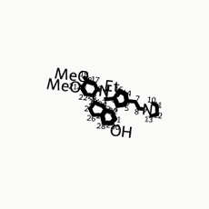 CCN(Cc1ccc(CCN2CCCC2)cc1)C1C=C(OC)C(OC)=CC1[C@@H]1CCc2cc(O)ccc2C1